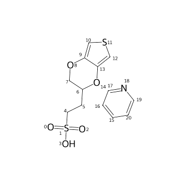 O=S(=O)(O)CCC1COc2cscc2O1.c1ccncc1